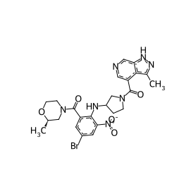 Cc1n[nH]c2cncc(C(=O)N3CCC(Nc4c(C(=O)N5CCO[C@H](C)C5)cc(Br)cc4[N+](=O)[O-])C3)c12